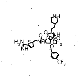 CS(=O)(=O)N[C@H](CCC1CCNCC1)C(=O)N1C[C@H](OCc2ccc(C(F)(F)F)cc2)C[C@H]1C(=O)NCC1CC=C(C(=N)N)S1